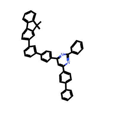 CC1(C)c2ccccc2-c2ccc(-c3cccc(-c4ccc(-c5cc(-c6ccc(-c7ccccc7)cc6)nc(-c6ccccc6)n5)cc4)c3)cc21